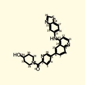 O=C(c1ccc(-c2ccc3nccc(Nc4ccc5scnc5c4)c3c2)cn1)N1CCC(O)CC1